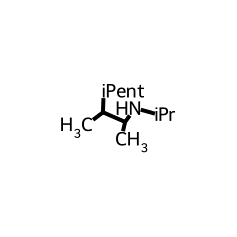 CCCC(C)C(C)C(C)NC(C)C